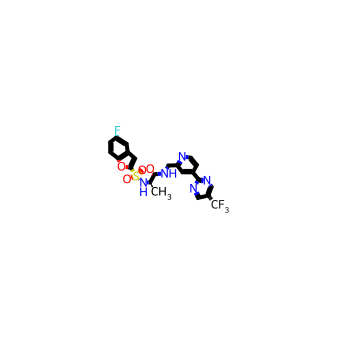 C[C@H](NS(=O)(=O)c1cc2cc(F)ccc2o1)C(=O)NCc1cc(-c2ncc(C(F)(F)F)cn2)ccn1